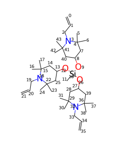 C=CCN1C(C)(C)CC(O[Si](C)(OC2CC(C)(C)N(CC=C)C(C)(C)C2)OC2CC(C)(C)N(CC=C)C(C)(C)C2)CC1(C)C